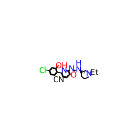 CCN1CCC[C@@H](Nc2nc3nc(-c4c(O)cc(Cl)cc4C#N)ccc3o2)C1